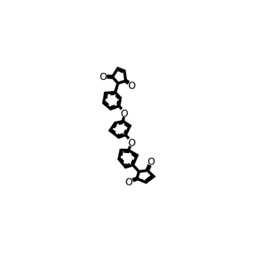 O=C1C=CC(=O)C1c1cccc(Oc2cccc(Oc3cccc(C4C(=O)C=CC4=O)c3)c2)c1